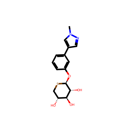 Cn1cc(-c2cccc(O[C@@H]3SC[C@@H](O)[C@H](O)[C@H]3O)c2)cn1